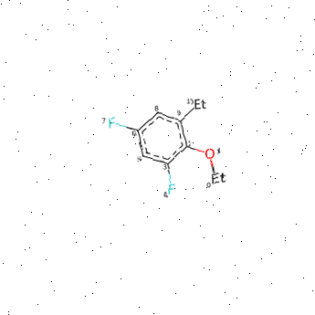 CCOc1c(F)cc(F)cc1CC